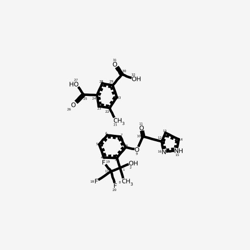 CC(O)(c1ccccc1OC(=O)c1cc[nH]n1)C(F)(F)F.Cc1cc(C(=O)O)cc(C(=O)O)c1